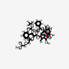 CO[C@H]1C[C@H]2OC[C@@]2(OC(C)=O)[C@H]2[C@H](OC(=O)c3ccccc3)C[C@H](OC(=O)[C@H](OC(=O)COCC(=O)O)[C@@H](NC(=O)OC(C)(C)C)c3ccccc3)/C(C)=C(\C(C)(C)O)[C@@H](OC)C(=O)[C@]12C